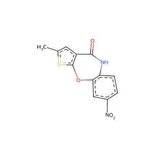 Cc1cc2c(s1)Oc1cc([N+](=O)[O-])ccc1NC2=O